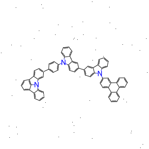 c1ccc2c(c1)c1ccccc1c1cc(-n3c4ccccc4c4cc(-c5ccc6c(c5)c5ccccc5n6-c5ccc(-c6ccc7c8cccc9c%10ccccc%10n(c7c6)c98)cc5)ccc43)ccc21